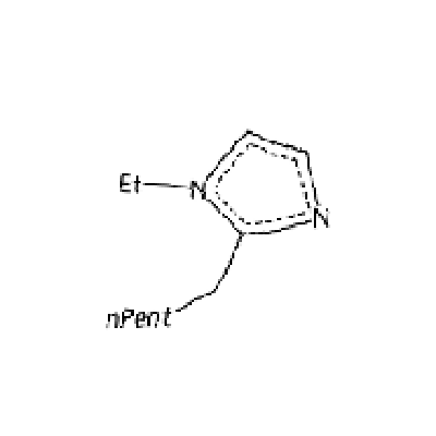 CCCCCCc1nccn1CC